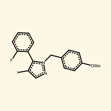 COc1ccc(Cn2ncc(I)c2-c2ccccc2F)cc1